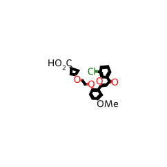 COc1ccc(OCCOC2CC(C(=O)O)C2)c(-c2cc(=O)c3cccc(Cl)c3o2)c1